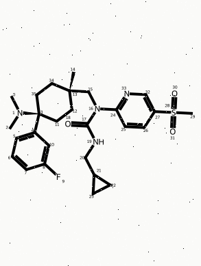 CN(C)[C@]1(c2cccc(F)c2)CC[C@@](C)(CN(C(=O)NCC2CC2)c2ccc(S(C)(=O)=O)cn2)CC1